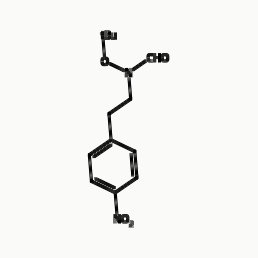 CC(C)(C)ON(C=O)CCc1ccc([N+](=O)[O-])cc1